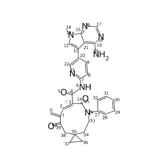 C=C1/C=C(/C(=O)Nc2ccc(-c3cn(C)c4ncnc(N)c34)cn2)C(=O)N(c2ccccc2)CCC2(CC2)CC1=O